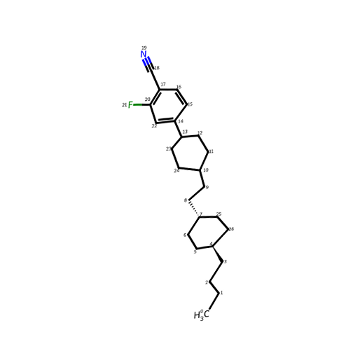 CCCC[C@H]1CC[C@H](CCC2CCC(c3ccc(C#N)c(F)c3)CC2)CC1